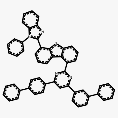 c1ccc(-c2ccc(-c3cc(-c4cccc(-c5ccccc5)c4)nc(-c4cccc5sc6c(-c7nc8ccccc8n7-c7ccccc7)cccc6c45)n3)cc2)cc1